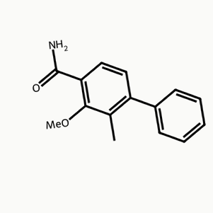 COc1c(C(N)=O)ccc(-c2ccccc2)c1C